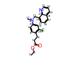 CCOC(=O)CCc1ccc(N(C)Cc2cccc3cccnc23)cc1F